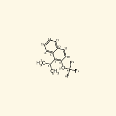 CC(C)c1c(OC(F)(F)F)ccc2ccccc12